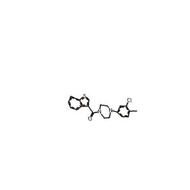 Cc1ccc(N2CCN(C(=O)c3csc4ccccc34)CC2)cc1Cl